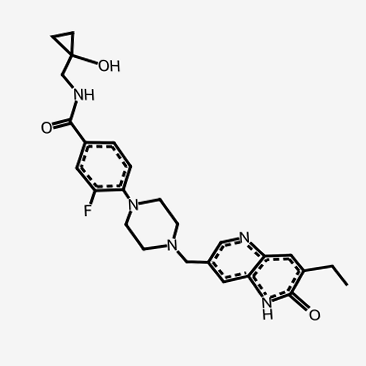 CCc1cc2ncc(CN3CCN(c4ccc(C(=O)NCC5(O)CC5)cc4F)CC3)cc2[nH]c1=O